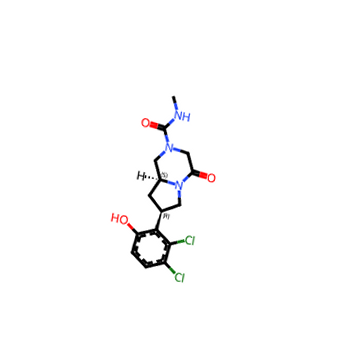 CNC(=O)N1CC(=O)N2C[C@@H](c3c(O)ccc(Cl)c3Cl)C[C@H]2C1